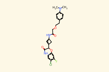 CN(C)c1ccc(CCOCC(=O)NC23CC(C(Oc4ccc(Cl)c(F)c4)C(N)=O)(C2)C3)cc1